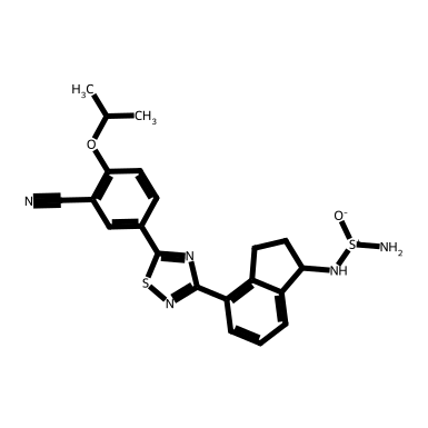 CC(C)Oc1ccc(-c2nc(-c3cccc4c3CCC4N[S+](N)[O-])ns2)cc1C#N